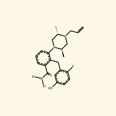 C=CCN1C[C@@H](C)N(c2cccc(C(=O)N(CC)CC)c2Cc2cc(O)ccc2F)C[C@@H]1C